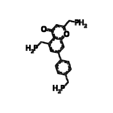 O=c1cc(CP)oc2cc(-c3ccc(CP)cc3)cc(CP)c12